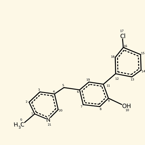 Cc1ccc(Cc2ccc(O)c(-c3cccc(Cl)c3)c2)cn1